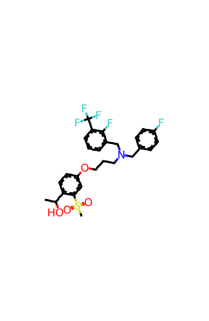 CC(O)c1ccc(OCCCN(Cc2ccc(F)cc2)Cc2cccc(C(F)(F)F)c2F)cc1S(C)(=O)=O